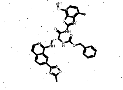 CCCOc1ccc(F)c2nc(NC(=O)[C@@H](CNc3nccc4ccc(-c5noc(C)n5)cc34)NC(=O)OCc3ccccc3)sc12